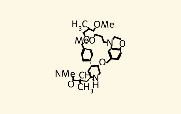 CNC(=O)C(C)(C)C[C@H]1C[C@H](c2ccc(COCC(C)COC)cc2)[C@@H](OCc2ccc3c(c2)N(CCCOC)CCO3)CN1